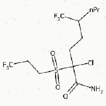 CCCC(CCC(Cl)(C(N)=O)S(=O)(=O)CCC(F)(F)F)C(F)(F)F